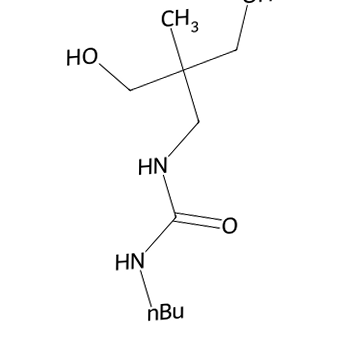 CCCCNC(=O)NCC(C)(CO)CO